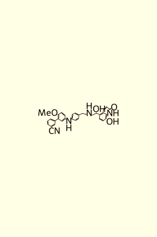 COc1ccc(Nc2ccc(CCNC[C@H](O)c3ccc(O)c4[nH]c(=O)ccc34)cc2)cc1-c1cccc(C#N)c1